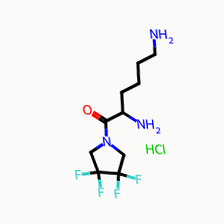 Cl.NCCCCC(N)C(=O)N1CC(F)(F)C(F)(F)C1